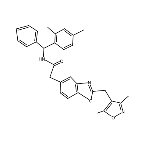 Cc1ccc(C(NC(=O)Cc2ccc3oc(Cc4c(C)noc4C)nc3c2)c2ccccc2)c(C)c1